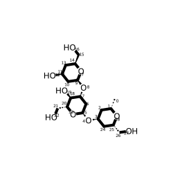 C[C@H]1C[C@@H](O[C@H]2C[C@@H](O[C@H]3C[C@@H](O)C[C@@H](CO)O3)[C@H](O)[C@@H](CO)O2)C[C@@H](CO)O1